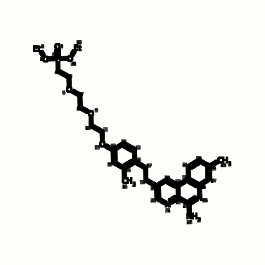 CCOP(=O)(CCOCCOCCOc1ccc(CCc2cnc3c(N)nc4cc(C)ccc4c3c2)c(C)c1)OCC